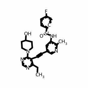 CCc1ncnc(N2CCC(O)CC2)c1C#Cc1cnc(C)c(N[S+]([O-])c2ccc(F)cc2)c1